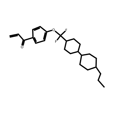 C=CC(=O)c1ccc(OC(F)(F)C2CCC(C3CCC(CCC)CC3)CC2)cc1